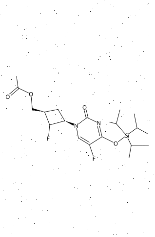 CC(=O)OC[C@H]1C[C@@H](n2cc(F)c(O[Si](C(C)C)(C(C)C)C(C)C)nc2=O)C1F